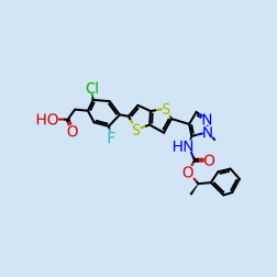 C[C@@H](OC(=O)Nc1c(-c2cc3sc(-c4cc(Cl)c(CC(=O)O)cc4F)cc3s2)cnn1C)c1ccccc1